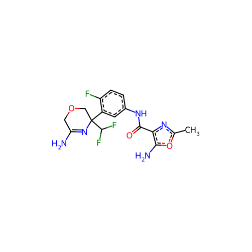 Cc1nc(C(=O)Nc2ccc(F)c(C3(C(F)F)COCC(N)=N3)c2)c(N)o1